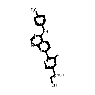 OC[C@@H](O)c1cnc(-c2ccc3c(Nc4ccc(C(F)(F)F)cc4)ncnc3n2)c(Cl)c1